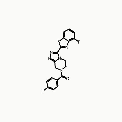 O=C(c1ccc(F)cc1)N1CCn2c(nnc2-c2nc3c(F)cccc3s2)C1